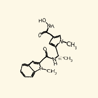 C[C@H](NC(=O)c1cc2ccccc2n1C)c1cc(C(=O)NO)cn1C